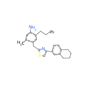 Cc1cc(N)c(CCC(C)C)cc1Cc1nc(-c2ccc3c(c2)CCCC3)cs1